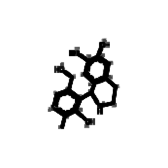 Cc1ncc(CO)c(C2NCCc3cc(O)c(O)cc32)c1O